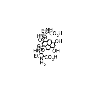 CCC(CC(N)C(=O)O)NS(=O)(=O)c1cc(S(=O)(=O)NC(CC)CC(N)C(=O)O)c2ccc3c(O)cc(O)c4ccc1c2c43